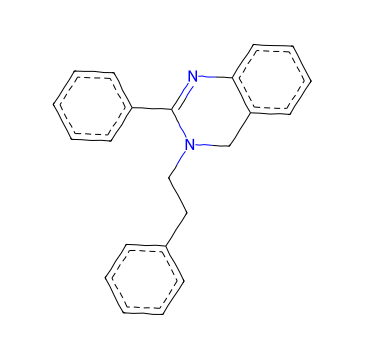 c1ccc(CCN2Cc3ccccc3N=C2c2ccccc2)cc1